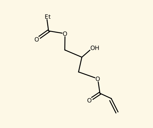 C=CC(=O)OCC(O)COC(=O)CC